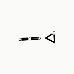 C1CO1.O=C=O